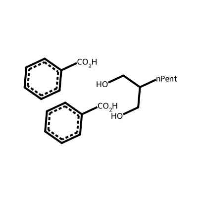 CCCCCC(CO)CO.O=C(O)c1ccccc1.O=C(O)c1ccccc1